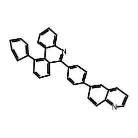 c1ccc(-c2cccc3c(-c4ccc(-c5ccc6ncccc6c5)cc4)nc4ccccc4c23)cc1